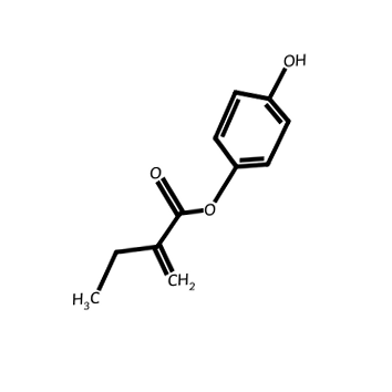 C=C(CC)C(=O)Oc1ccc(O)cc1